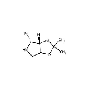 CC[C@H]1NCC2OC(C)(C)O[C@H]21